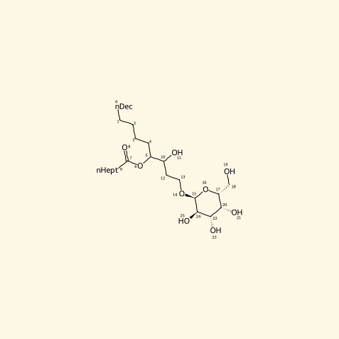 CCCCCCCCCCCCCCC(OC(=O)CCCCCCC)C(O)CCO[C@H]1O[C@H](CO)[C@H](O)[C@H](O)[C@H]1O